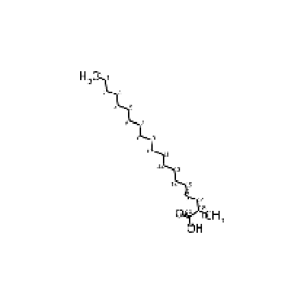 CCCCCCCCCCCCCCCCSCC(C)C(=O)O